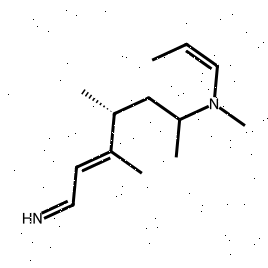 C/C=C\N(C)C(C)C[C@@H](C)/C(C)=C/C=N